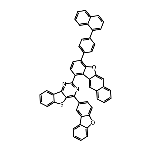 c1ccc2cc3c(cc2c1)oc1c(-c2ccc(-c4cccc5ccccc45)cc2)ccc(-c2nc(-c4ccc5oc6ccccc6c5c4)c4sc5ccccc5c4n2)c13